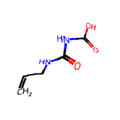 C=CCNC(=O)NC(=O)O